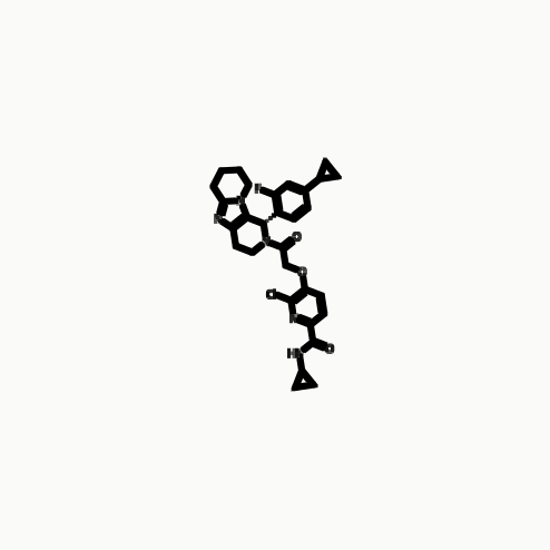 O=C(NC1CC1)c1ccc(OCC(=O)N2CCc3nc4n(c3[C@@H]2c2ccc(C3CC3)cc2F)CCCC4)c(Cl)n1